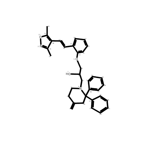 C=C1CCN(CC(O)COc2ccccc2C=Cc2c(C)noc2C)C(c2ccccc2)(c2ccccc2)C1